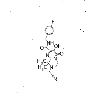 CC1(C)c2nc(C(=O)NCc3ccc(F)cc3)c(O)c(=O)n2CCN1CC#N